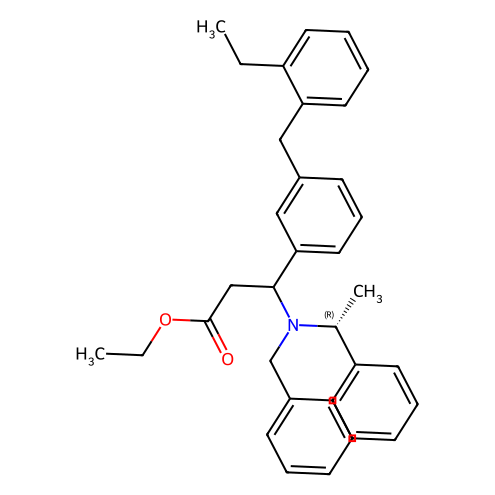 CCOC(=O)CC(c1cccc(Cc2ccccc2CC)c1)N(Cc1ccccc1)[C@H](C)c1ccccc1